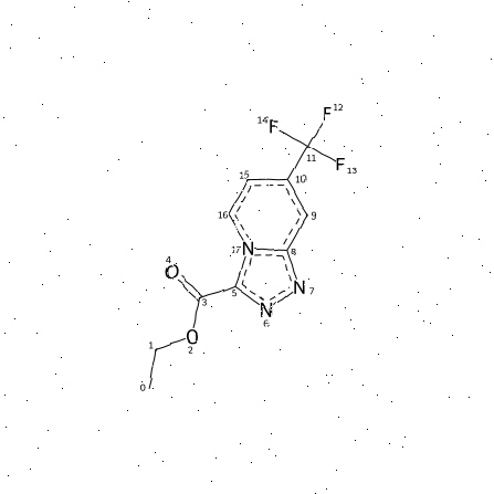 CCOC(=O)c1nnc2cc(C(F)(F)F)ccn12